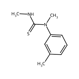 CNC(=S)N(C)c1cccc(C)c1